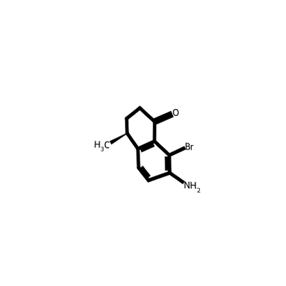 C[C@H]1CCC(=O)c2c1ccc(N)c2Br